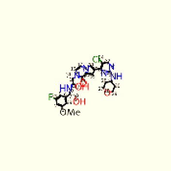 COc1cc(F)cc([C@@H](CO)NC(O)[C@H](C)n2ccn3cc(-c4nc(NC5CCOCC5)ncc4Cl)cc3c2=O)c1